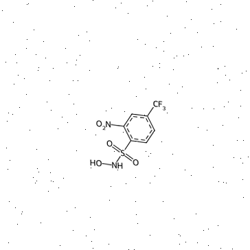 O=[N+]([O-])c1cc(C(F)(F)F)ccc1S(=O)(=O)NO